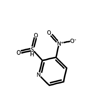 O=[N+]([O-])c1cccnc1[SH](=O)=O